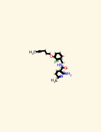 CC#CCCCOc1cccc(CNC(=O)c2ccc(C)nc2N)c1F